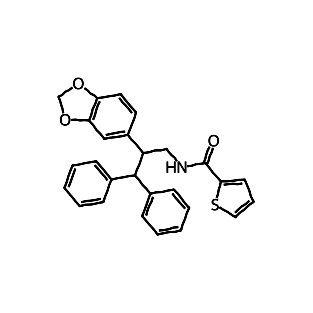 O=C(NCC(c1ccc2c(c1)OCO2)C(c1ccccc1)c1ccccc1)c1cccs1